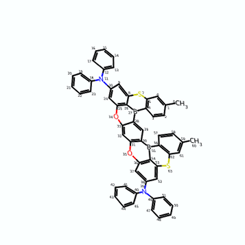 Cc1ccc2c(c1)Sc1cc(N(c3ccccc3)c3ccccc3)cc3c1B2c1cc2c(cc1O3)Oc1cc(N(c3ccccc3)c3ccccc3)cc3c1B2c1ccc(C)cc1S3